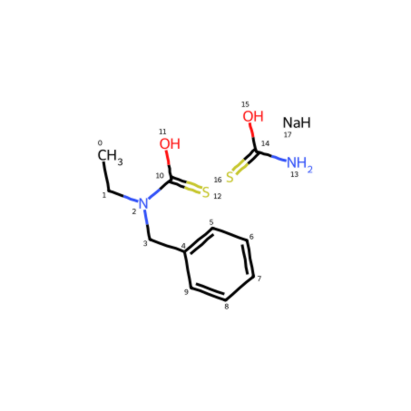 CCN(Cc1ccccc1)C(O)=S.NC(O)=S.[NaH]